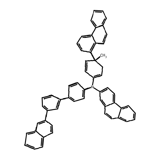 CC1(c2cccc3c2ccc2ccccc23)C=CC(N(c2ccc(-c3cccc(-c4ccc5ccccc5c4)c3)cc2)c2ccc3c(ccc4ccccc43)c2)=CC1